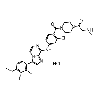 CNCC(=O)N1CCN(C(=O)c2ccc(Nc3nccn4c(-c5ccc(OC)c(F)c5F)cnc34)cc2Cl)CC1.Cl